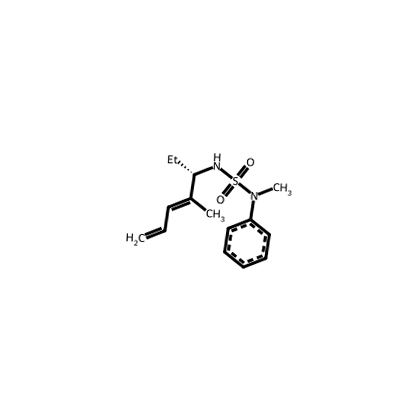 C=C/C=C(\C)[C@H](CC)NS(=O)(=O)N(C)c1ccccc1